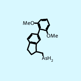 COc1cccc(OC)c1-c1ccc2c(c1)C(C[AsH2])CC2